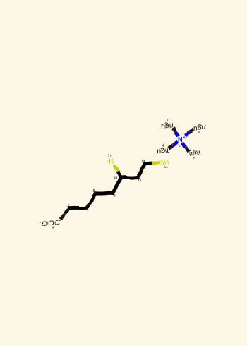 CCCC[N+](CCCC)(CCCC)CCCC.O=C([O-])CCCCC(S)CCS